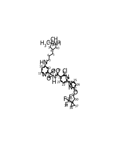 CC1(C)CC(CCCNc2ccnc(S(=O)(=O)NC(=O)c3ccc(-n4ccc(OCCC5(C(F)(F)F)CC5)n4)nc3Cl)c2)CN1